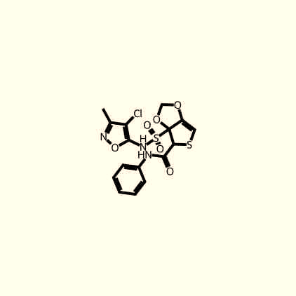 Cc1noc(NS(=O)(=O)C23OCOC2=CSC3C(=O)Nc2ccccc2)c1Cl